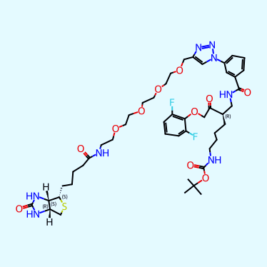 CC(C)(C)OC(=O)NCCCC[C@H](CNC(=O)c1cccc(-n2cc(COCCOCCOCCOCCNC(=O)CCCC[C@@H]3SC[C@@H]4NC(=O)N[C@@H]43)nn2)c1)C(=O)COc1c(F)cccc1F